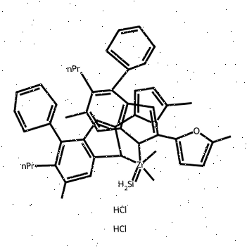 CCCc1c(C)cc2c(c1-c1ccccc1)C=C(c1ccc(C)o1)[CH]2[Zr]([CH3])([CH3])(=[SiH2])[CH]1C(c2ccc(C)o2)=Cc2c1cc(C)c(CCC)c2-c1ccccc1.Cl.Cl